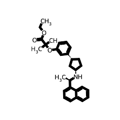 CCOC(=O)C(C)(C)Oc1cccc([C@@H]2CC[C@H](N[C@H](C)c3cccc4ccccc34)C2)c1